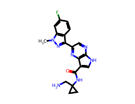 Cn1nc(-c2cnc3[nH]cc(C(=O)NC4(CN)CC4)c3n2)c2ccc(F)cc21